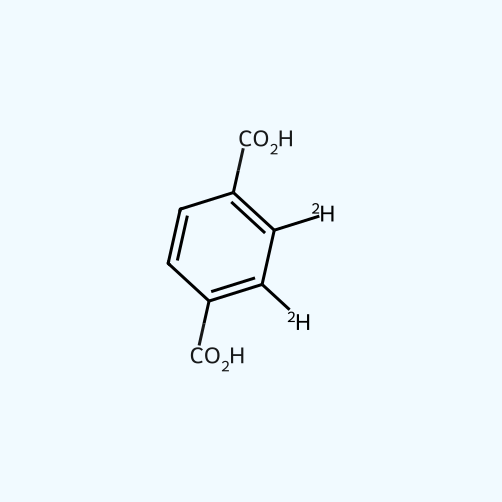 [2H]c1c(C(=O)O)ccc(C(=O)O)c1[2H]